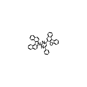 c1ccc(-c2cc(-c3cc4ccccc4c4c3oc3ccccc34)nc(-n3c4ccc5ccccc5c4c4c5ccccc5ccc43)n2)cc1